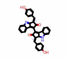 O=C1C(C2=C3c4ccccc4NC3/C(=C\c3ccc(O)cc3)C2=O)=C2C(=Nc3ccccc32)/C1=C\c1ccc(O)cc1